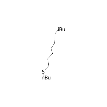 CCCCSCCCCCCC(C)CC